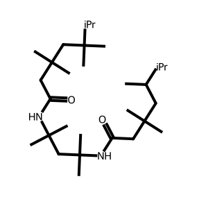 CC(C)C(C)CC(C)(C)CC(=O)NC(C)(C)CC(C)(C)NC(=O)CC(C)(C)CC(C)(C)C(C)C